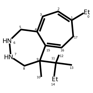 CCC1=CC=C2CNNCC(C)(C(C)(C)CC)C2=CC1